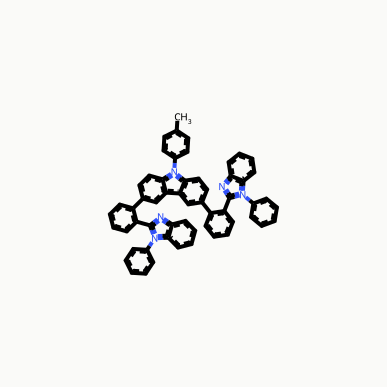 Cc1ccc(-n2c3ccc(-c4ccccc4-c4nc5ccccc5n4-c4ccccc4)cc3c3cc(-c4ccccc4-c4nc5ccccc5n4-c4ccccc4)ccc32)cc1